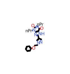 CCCn1c(=O)c2[nH]c(-c3cnn(CCOc4ccccc4)c3)nc2n(CCC)c1=O